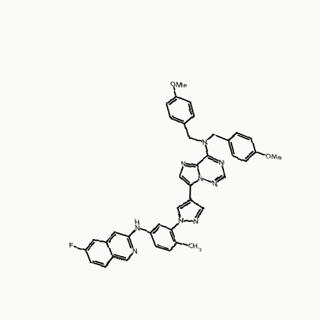 COc1ccc(CN(Cc2ccc(OC)cc2)c2ncnn3c(-c4cnn(-c5cc(Nc6cc7cc(F)ccc7cn6)ccc5C)c4)cnc23)cc1